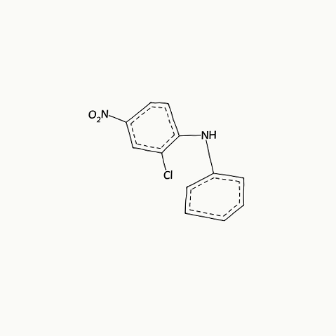 O=[N+]([O-])c1ccc(Nc2ccccc2)c(Cl)c1